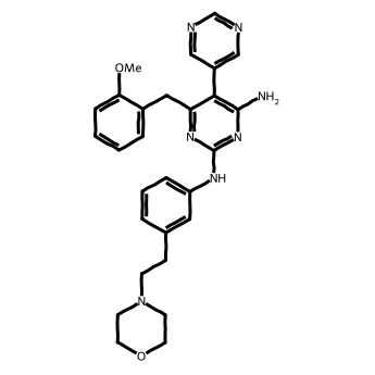 COc1ccccc1Cc1nc(Nc2cccc(CCN3CCOCC3)c2)nc(N)c1-c1cncnc1